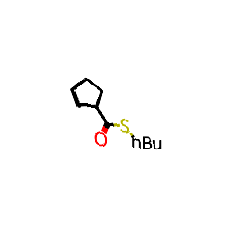 CCCCSC(=O)C1CCCC1